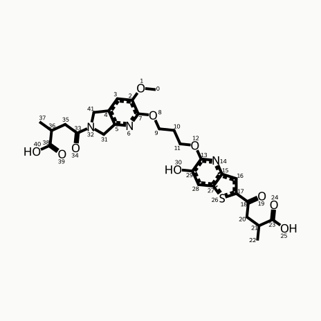 COc1cc2c(nc1OCCCOc1nc3cc(C(=O)CC(C)C(=O)O)sc3cc1O)CN(C(=O)CC(C)C(=O)O)C2